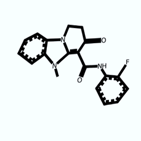 CN1C2=C(C(=O)Nc3ccccc3F)C(=O)CCN2c2ccccc21